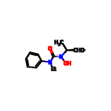 CCN(C(=O)N(O)[C@@H](C)[C]=O)c1ccccc1